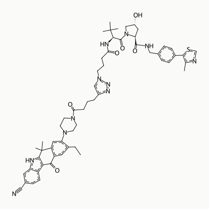 CCc1cc2c(cc1N1CCN(C(=O)CCCc3cn(CCCC(=O)N[C@H](C(=O)N4C[C@H](O)C[C@H]4C(=O)NCc4ccc(-c5scnc5C)cc4)C(C)(C)C)nn3)CC1)C(C)(C)c1[nH]c3cc(C#N)ccc3c1C2=O